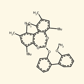 Cc1cc(C(C)(C)C)c2op(Oc3ccccc3-c3ccccc3OP)oc3c(C(C)(C)C)cc(C)c(C)c3c2c1C